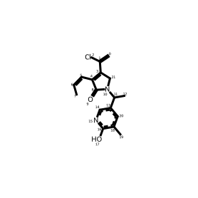 C=C(Cl)C1=C(/C=C\C)C(=O)N(C(C)c2cnc(O)c(C)c2)C1